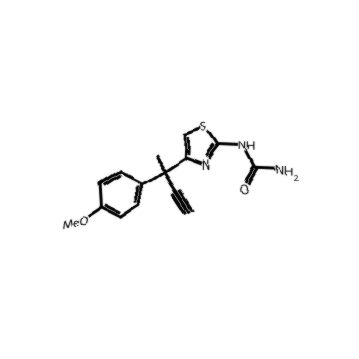 C#CC(C)(c1ccc(OC)cc1)c1csc(NC(N)=O)n1